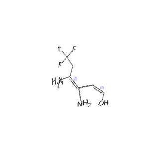 NC(/C=C\O)=C(\N)CC(F)(F)F